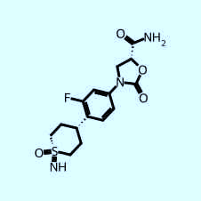 N=[S@]1(=O)CC[C@H](c2ccc(N3C[C@H](C(N)=O)OC3=O)cc2F)CC1